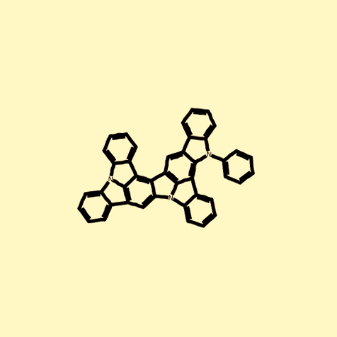 c1ccc(-n2c3ccccc3c3cc4c5c6c7ccccc7n7c8ccccc8c(cc5n5c8ccccc8c(c32)c45)c67)cc1